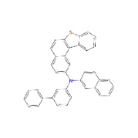 c1ccc(-c2cccc(N(c3ccc4ccccc4c3)c3ccc4ccc5sc6ccccc6c5c4c3)c2)cc1